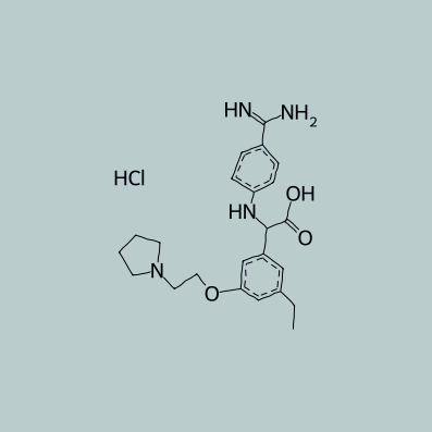 CCc1cc(OCCN2CCCC2)cc(C(Nc2ccc(C(=N)N)cc2)C(=O)O)c1.Cl